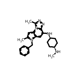 CN[C@H]1CC[C@@H](Nc2cc3c(cc(C)n3Cc3ccccc3)n3c(C)nnc23)CC1